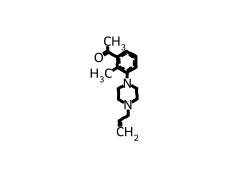 C=CCN1CCN(c2cccc(C(C)=O)c2C)CC1